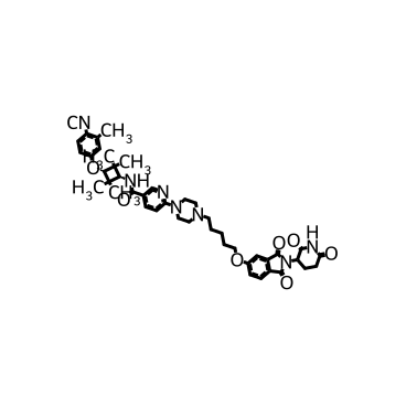 Cc1cc(O[C@H]2C(C)(C)[C@H](NC(=O)c3ccc(N4CCN(CCCCCOc5ccc6c(c5)C(=O)N(C5CCC(=O)NC5=O)C6=O)CC4)nc3)C2(C)C)ccc1C#N